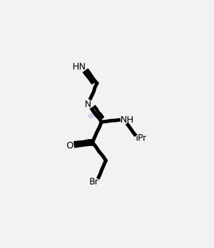 CC(C)N/C(=N\C=N)C(=O)CBr